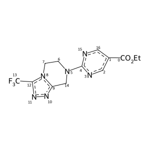 CCOC(=O)c1cnc(N2CCn3c(nnc3C(F)(F)F)C2)nc1